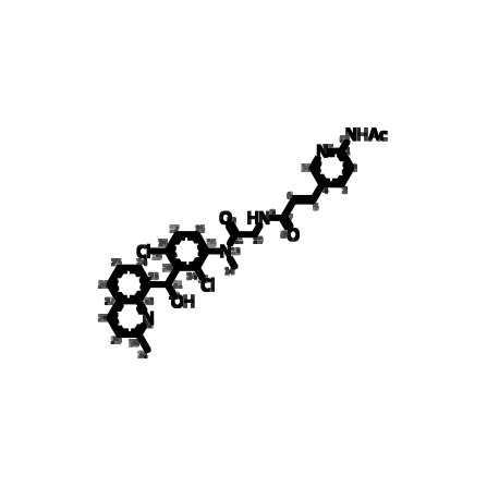 CC(=O)Nc1ccc(C=CC(=O)NCC(=O)N(C)c2ccc(Cl)c(C(O)c3cccc4ccc(C)nc34)c2Cl)cn1